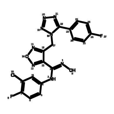 O/N=C(\Nc1ccc(F)c(Cl)c1)c1nonc1Cn1nnnc1-c1ccc(F)cc1